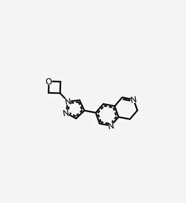 C1=NCCc2ncc(-c3cnn(C4COC4)c3)cc21